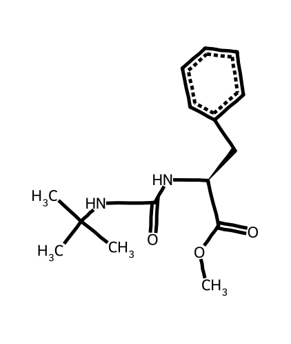 COC(=O)[C@H](Cc1ccccc1)NC(=O)NC(C)(C)C